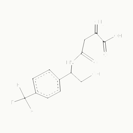 C=C(CC(=O)NC(CO)c1ccc(C(F)(F)F)cc1)C(=O)O